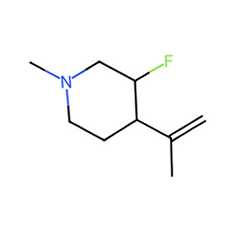 C=C(C)C1CCN(C)CC1F